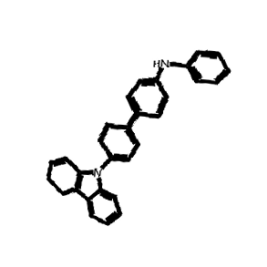 C1=Cc2c(c3ccccc3n2C2=CC=C(c3ccc(Nc4ccccc4)cc3)CC2)CC1